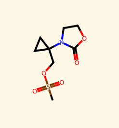 CS(=O)(=O)OCC1(N2CCOC2=O)CC1